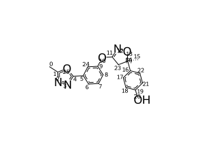 Cc1nnc(-c2cccc(OC3=NO[C@@](C)(c4ccc(O)cc4)C3)c2)o1